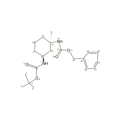 CC(C)(C)OC(=O)N[C@H]1CCC[C@@](C)(NC(=O)OCc2ccccc2)C1